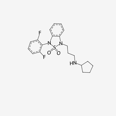 O=S1(=O)N(CCCNC2CCCC2)c2ccccc2N1c1c(F)cccc1F